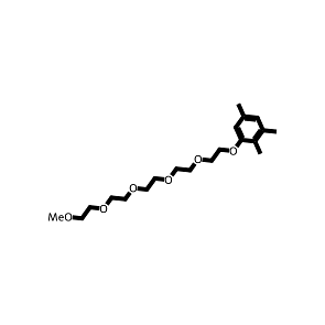 COCCOCCOCCOCCOCCOc1cc(C)cc(C)c1C